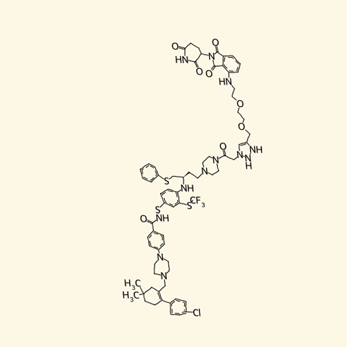 CC1(C)CCC(c2ccc(Cl)cc2)=C(CN2CCN(c3ccc(C(=O)NSc4ccc(N[C@H](CCN5CCN(C(=O)CN6C=C(COCCOCCNc7cccc8c7C(=O)N(C7CCC(=O)NC7=O)C8=O)NN6)CC5)CSc5ccccc5)c(SC(F)(F)F)c4)cc3)CC2)C1